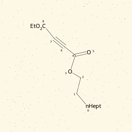 CCCCCCCCCOC(=O)C#CC(=O)OCC